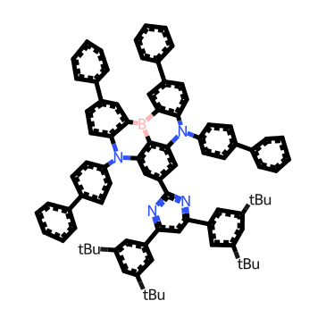 CC(C)(C)c1cc(-c2cc(-c3cc(C(C)(C)C)cc(C(C)(C)C)c3)nc(-c3cc4c5c(c3)N(c3ccc(-c6ccccc6)cc3)c3ccc(-c6ccccc6)cc3B5c3cc(-c5ccccc5)ccc3N4c3ccc(-c4ccccc4)cc3)n2)cc(C(C)(C)C)c1